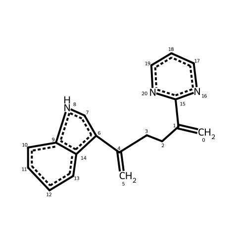 C=C(CCC(=C)c1c[nH]c2ccccc12)c1ncccn1